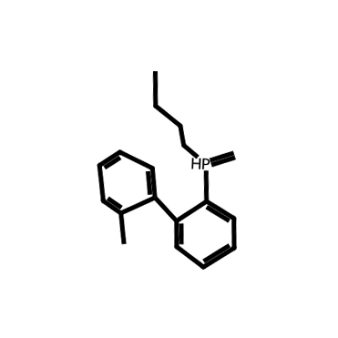 C=[PH](CCCC)c1ccccc1-c1ccccc1C